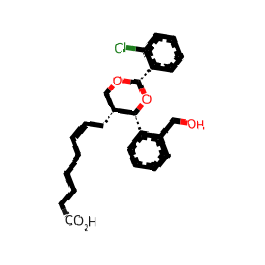 O=C(O)CCCC/C=C\C[C@@H]1CO[C@H](c2ccccc2Cl)O[C@@H]1c1ccccc1CO